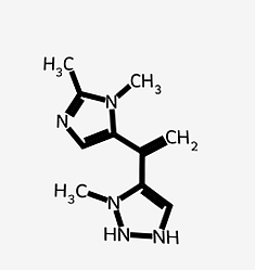 C=C(C1=CNNN1C)c1cnc(C)n1C